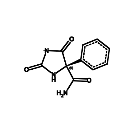 NC(=O)[C@]1(c2ccccc2)NC(=O)[N]C1=O